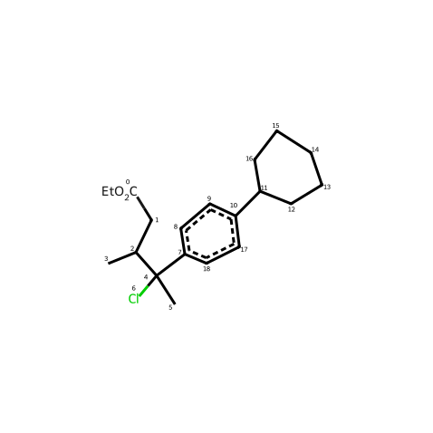 CCOC(=O)CC(C)C(C)(Cl)c1ccc(C2CCCCC2)cc1